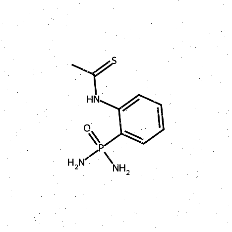 CC(=S)Nc1ccccc1P(N)(N)=O